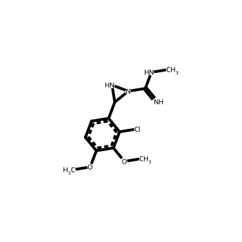 CNC(=N)N1NC1c1ccc(OC)c(OC)c1Cl